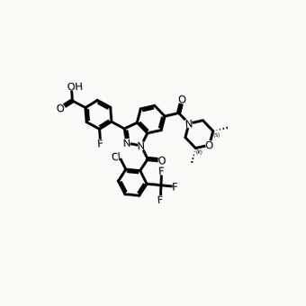 C[C@@H]1CN(C(=O)c2ccc3c(-c4ccc(C(=O)O)cc4F)nn(C(=O)c4c(Cl)cccc4C(F)(F)F)c3c2)C[C@H](C)O1